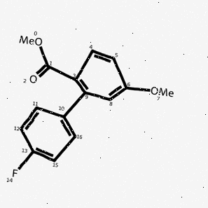 COC(=O)c1ccc(OC)cc1-c1ccc(F)cc1